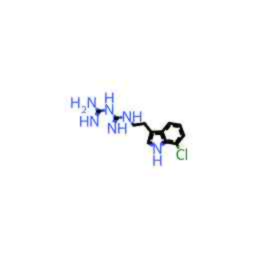 N=C(N)NC(=N)NCCc1c[nH]c2c(Cl)cccc12